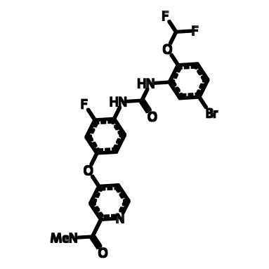 CNC(=O)c1cc(Oc2ccc(NC(=O)Nc3cc(Br)ccc3OC(F)F)c(F)c2)ccn1